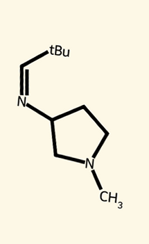 CN1CCC(/N=C\C(C)(C)C)C1